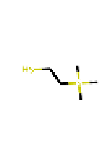 CS(C)(C)CCS